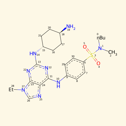 CCCCN(C)S(=O)(=O)c1ccc(Nc2nc(N[C@H]3CC[C@H](N)CC3)nc3c2ncn3CC)cc1